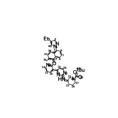 CCc1cnn(-c2cccc3c(Oc4ncccc4-c4ccnc(NC5CCCN(C(=O)OC(C)(C)C)C5)n4)c(C)ccc23)c1